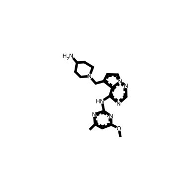 COc1cc(C)nc(Nc2ncnn3ccc(CN4CCC(N)CC4)c23)n1